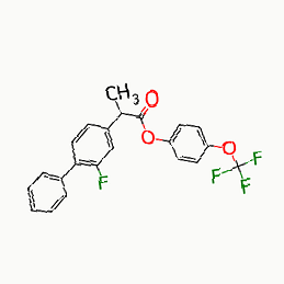 CC(C(=O)Oc1ccc(OC(F)(F)F)cc1)c1ccc(-c2ccccc2)c(F)c1